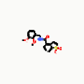 COc1cccc(CNC(=O)c2cccc3c2C=CS3(=O)=O)c1OC